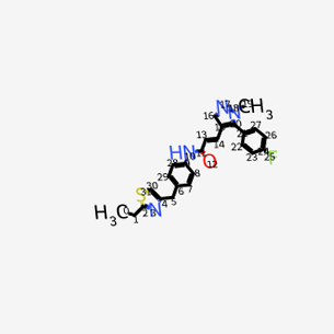 CCc1nc(Cc2ccc(NC(=O)C=Cc3cnn(C)c3-c3ccc(F)cc3)cc2)cs1